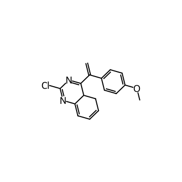 C=C(C1=NC(Cl)=NC2=CC=CCC21)c1ccc(OC)cc1